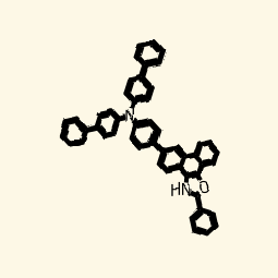 c1ccc(-c2ccc(N(c3ccc(-c4ccccc4)cc3)c3ccc(-c4ccc5c6c(c7ccccc7c5c4)OC(c4ccccc4)N6)cc3)cc2)cc1